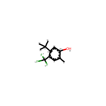 Cc1cc(C(F)(F)F)c(C(C)(C)C)cc1O